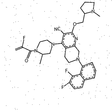 C=C(F)C(=O)N1CCN(c2c(C#N)c(OCC3CCCN3C)nc3c2CCN(c2cccc4ccc(F)c(F)c24)C3)CC1C